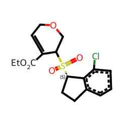 CCOC(=O)C1=CCOCC1S(=O)(=O)[C@H]1CCc2cccc(Cl)c21